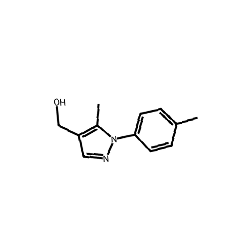 Cc1ccc(-n2ncc(CO)c2C)cc1